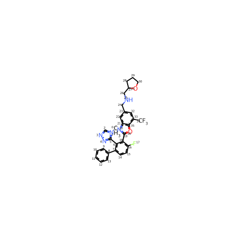 Cn1cnnc1-c1c(-c2ccccc2)ccc(F)c1-c1nc2cc(CNCC3CCCO3)cc(C(F)(F)F)c2o1